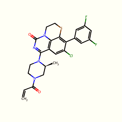 C=CC(=O)N1CCN(c2nc(=O)n3c4c(c(-c5cc(F)cc(F)c5)c(Cl)cc24)SCC3)[C@@H](C)C1